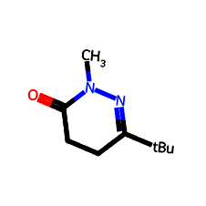 CN1N=C(C(C)(C)C)CCC1=O